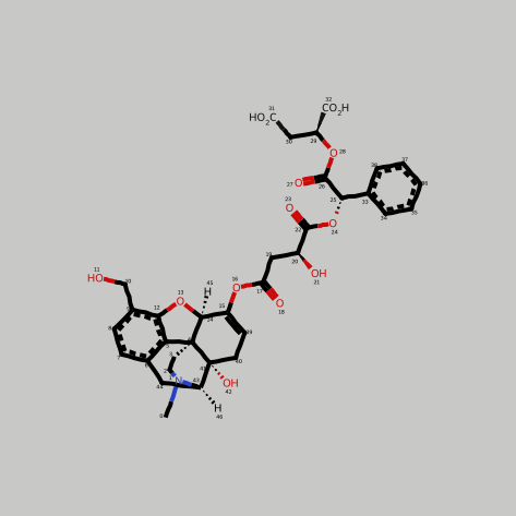 CN1CC[C@]23c4c5ccc(CO)c4O[C@H]2C(OC(=O)C[C@H](O)C(=O)O[C@H](C(=O)O[C@@H](CC(=O)O)C(=O)O)c2ccccc2)=CC[C@@]3(O)[C@H]1C5